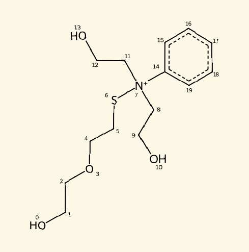 OCCOCCS[N+](CCO)(CCO)c1ccccc1